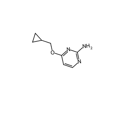 Nc1nccc(OCC2CC2)n1